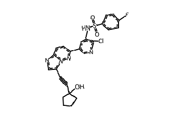 O=S(=O)(Nc1cc(-c2ccc3ncc(C#CC4(O)CCCC4)n3n2)cnc1Cl)c1ccc(F)cc1